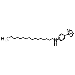 CCCCCCCCCCCCCCCCNc1ccc(C2=NCCO2)cc1